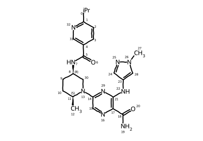 CC(C)c1ccc(C(=O)N[C@@H]2CC[C@H](C)N(c3cnc(C(N)=O)c(Nc4cnn(C)c4)n3)C2)cn1